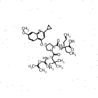 C=CC[C@@](CC)(NC(=O)[C@@H]1C[C@@H](Oc2cc(C3CC3)nc3cc(OC)ccc23)CN1C(=O)[C@@H](NC(=O)OC(=C)C)C(C)(C)C)C(=O)O